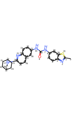 Cc1nc2ccc(NC(=O)Nc3ccc4nc(N5CC6CCC5CC6)ccc4c3)cc2s1